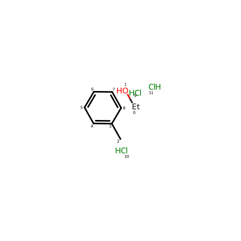 CCO.Cc1ccccc1.Cl.Cl.Cl